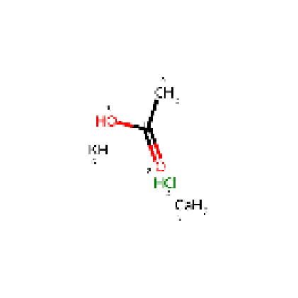 CC(=O)O.Cl.[CaH2].[KH]